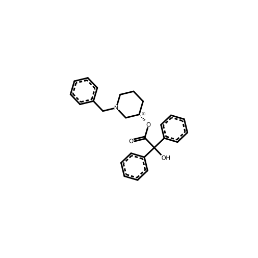 O=C(O[C@H]1CCCN(Cc2ccccc2)C1)C(O)(c1ccccc1)c1ccccc1